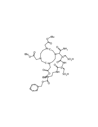 CC(C)(C)OC(=O)CN1CCN(CC(=O)OC(C)(C)C)CCN(C(C(N)=O)[C@@H](CS(=O)(=O)O)C(=O)N[C@@H](CS(=O)(=O)O)C(=O)NCCNC(=O)OCc2ccccc2)CCN(CC(=O)OC(C)(C)C)CC1